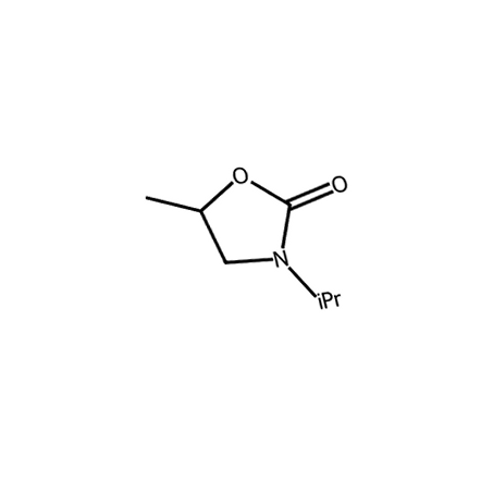 CC1CN(C(C)C)C(=O)O1